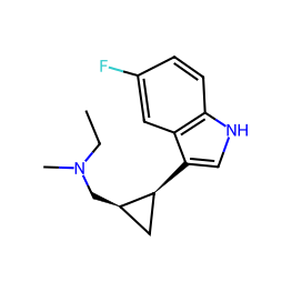 CCN(C)C[C@@H]1C[C@@H]1c1c[nH]c2ccc(F)cc12